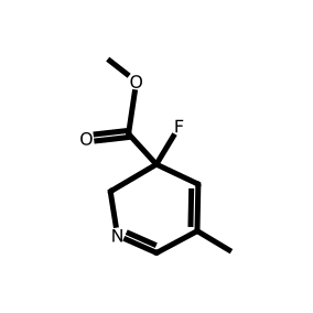 COC(=O)C1(F)C=C(C)C=NC1